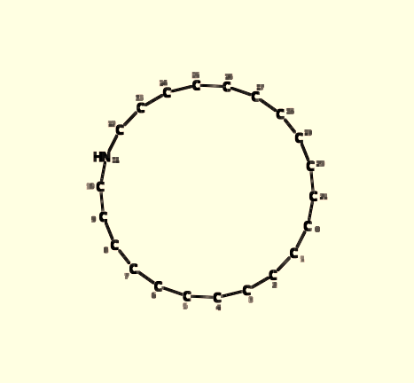 C1CCCCCCCCCCNCCCCCCCCCC1